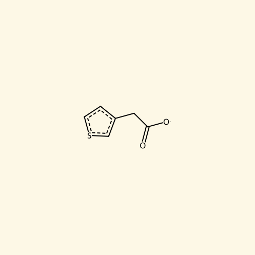 [O]C(=O)Cc1ccsc1